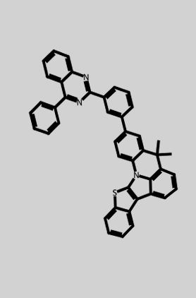 CC1(C)c2cc(-c3cccc(-c4nc(-c5ccccc5)c5ccccc5n4)c3)ccc2-n2c3sc4ccccc4c3c3cccc1c32